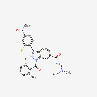 COC(=O)c1ccc(-c2nn(C(=O)c3c(Cl)cccc3C(F)(F)F)c3cc(C(=O)N=CN(C)C)ccc23)c(F)c1